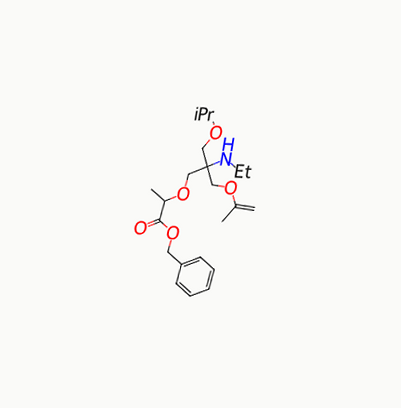 C=C(C)OCC(COC(C)C)(COC(C)C(=O)OCc1ccccc1)NCC